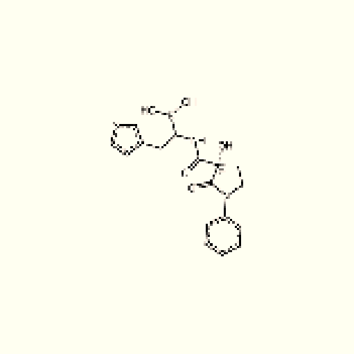 O=C(NC(Cc1ccsc1)B(O)O)[C@@]1(O)CCN(c2ccccc2)C1=O